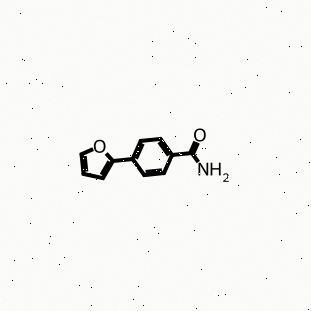 NC(=O)c1ccc(-c2ccco2)cc1